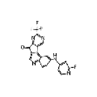 O=C1c2cnc3ccc(Nc4ccnc(F)c4)cc3c2-c2cnc(C(F)(F)F)nc21